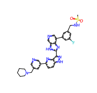 CS(=O)(=O)NCc1cc(F)cc(-c2cncc3[nH]c(-c4n[nH]c5ccc(-c6cncc(CN7CCCCC7)c6)nc45)nc23)c1